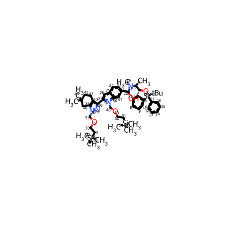 CC(CO[Si](c1ccccc1)(c1ccccc1)C(C)(C)C)N(C)C(O)c1ccc2cc(-c3nn(COCC[Si](C)(C)C)c4c3CCC(C)(C)C4)n(COCC[Si](C)(C)C)c2c1